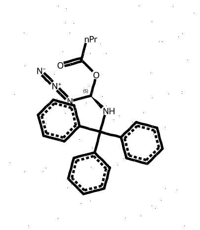 CCCC(=O)O[C@H](N=[N+]=[N-])NC(c1ccccc1)(c1ccccc1)c1ccccc1